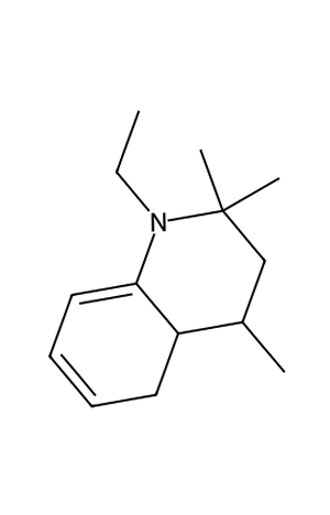 CCN1C2=CC=CCC2C(C)CC1(C)C